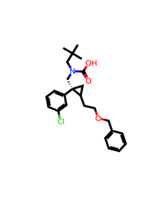 CC(C)(C)CN(C[C@]1(c2cccc(Cl)c2)CC1CCOCc1ccccc1)C(=O)O